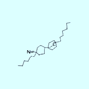 CCCCCCCC12CCC(C3CCC(C#N)(CCCCCC)CC3)(CC1)CC2